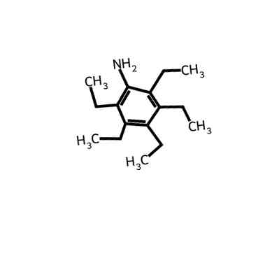 CCc1c(N)c(CC)c(CC)c(CC)c1CC